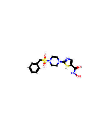 O=C(NO)c1cnc(N2CCN(S(=O)(=O)Cc3ccccc3)CC2)s1